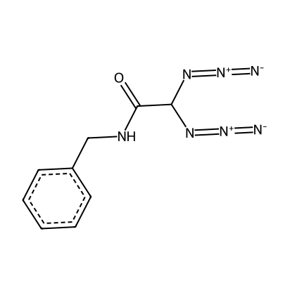 [N-]=[N+]=NC(N=[N+]=[N-])C(=O)NCc1ccccc1